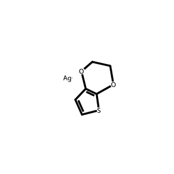 [Ag].c1cc2c(s1)OCCO2